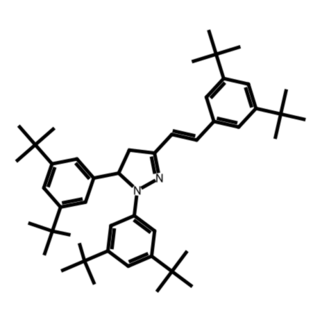 CC(C)(C)c1cc(C=CC2=NN(c3cc(C(C)(C)C)cc(C(C)(C)C)c3)C(c3cc(C(C)(C)C)cc(C(C)(C)C)c3)C2)cc(C(C)(C)C)c1